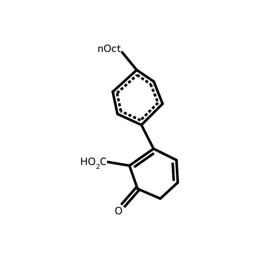 CCCCCCCCc1ccc(C2=C(C(=O)O)C(=O)CC=C2)cc1